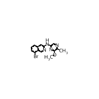 COc1nc(Nc2cc3cccc(Br)c3cn2)cnc1C